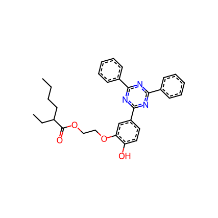 CCCCC(CC)C(=O)OCCOc1cc(-c2nc(-c3ccccc3)nc(-c3ccccc3)n2)ccc1O